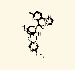 Cc1ccc(-n2nccn2)c(C(=O)N2C[C@@H]3CC[C@H]2[C@H](Oc2cnc(C(F)(F)F)cn2)C3)n1